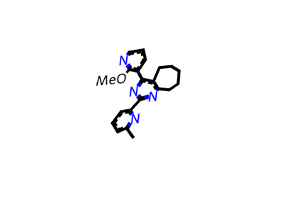 COc1ncccc1-c1nc(-c2cccc(C)n2)nc2c1CCCCC2